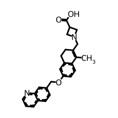 CC1=C(CN2CC(C(=O)O)C2)CCc2cc(OCc3ccc4cccnc4c3)ccc21